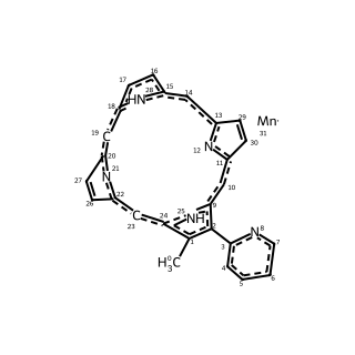 Cc1c(-c2ccccn2)c2cc3nc(cc4ccc(cc5nc(cc1[nH]2)C=C5)[nH]4)C=C3.[Mn]